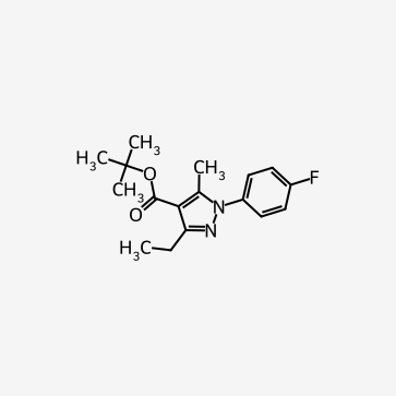 CCc1nn(-c2ccc(F)cc2)c(C)c1C(=O)OC(C)(C)C